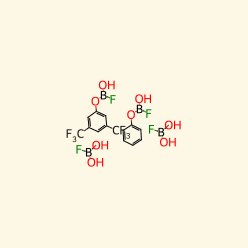 OB(F)Oc1cc(C(F)(F)F)cc(C(F)(F)F)c1.OB(F)Oc1ccccc1.OB(O)F.OB(O)F